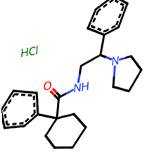 Cl.O=C(NCC(c1ccccc1)N1CCCC1)C1(c2ccccc2)CCCCC1